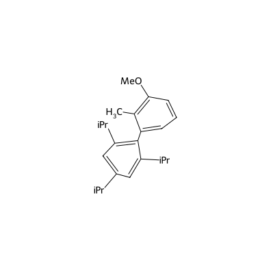 COc1cccc(-c2c(C(C)C)cc(C(C)C)cc2C(C)C)c1C